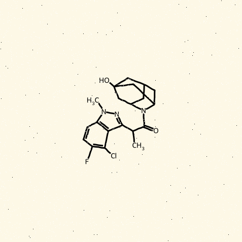 CC(C(=O)N1C2CC3CC1CC(O)(C3)C2)c1nn(C)c2ccc(F)c(Cl)c12